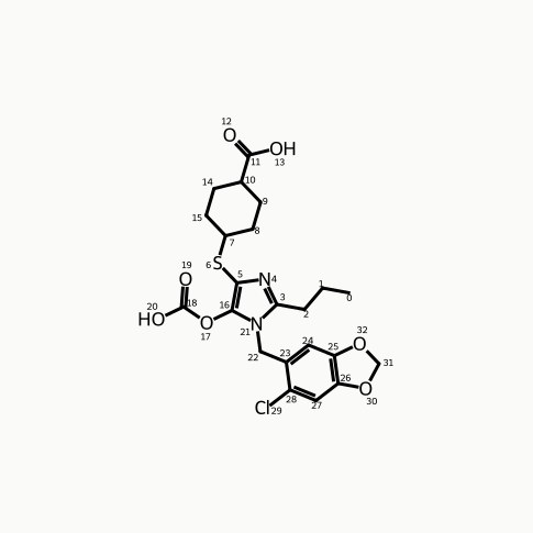 CCCc1nc(SC2CCC(C(=O)O)CC2)c(OC(=O)O)n1Cc1cc2c(cc1Cl)OCO2